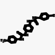 O=C(Nc1ccc(NC(=O)Nc2ccc(C(F)(F)F)cc2)cc1)Nc1ccc(C(F)(F)F)cc1